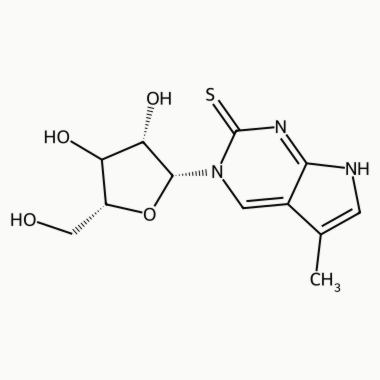 Cc1c[nH]c2nc(=S)n([C@@H]3O[C@H](CO)C(O)[C@@H]3O)cc12